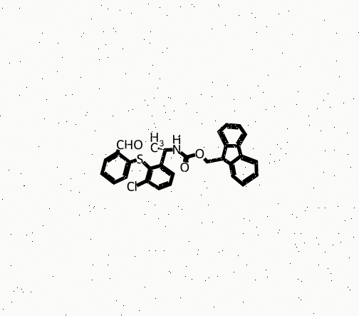 C[C@H](NC(=O)OCC1c2ccccc2-c2ccccc21)c1cccc(Cl)c1Sc1ccccc1C=O